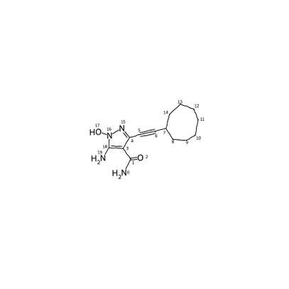 NC(=O)c1c(C#CC2CCCCCCC2)nn(O)c1N